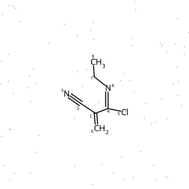 C=C(C#N)/C(Cl)=N\CC